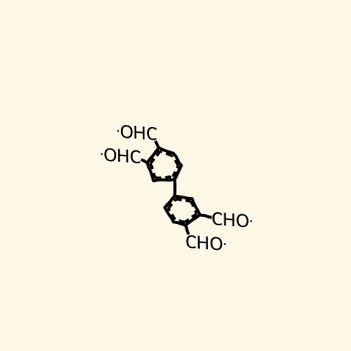 O=[C]c1ccc(-c2ccc([C]=O)c([C]=O)c2)cc1[C]=O